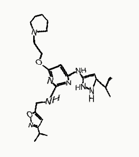 CC(C)c1cc(CNc2nc(NC3=CC(C(C)C)NN3)cc(OCCN3CCCCC3)n2)on1